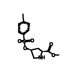 COC(=O)[C@@H]1C[C@H](OS(=O)(=O)c2ccc(C)cc2)CN1